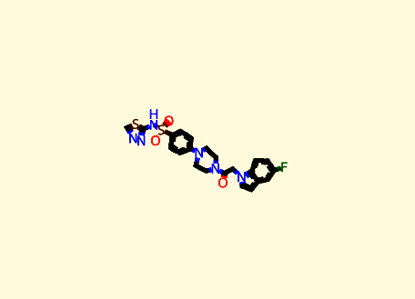 O=C(Cn1ccc2cc(F)ccc21)N1CCN(c2ccc(S(=O)(=O)Nc3nncs3)cc2)CC1